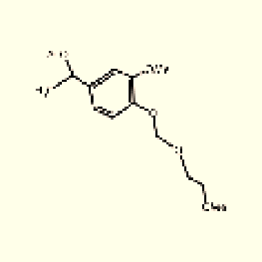 COCCOCOc1ccc(C(C)OC(C)=O)cc1OC